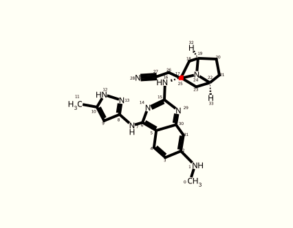 CNc1ccc2c(Nc3cc(C)[nH]n3)nc(N[C@@H]3C[C@H]4CC[C@@H](C3)N4CCC#N)nc2c1